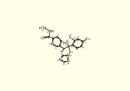 CC(c1ccc(C(=O)NN)nc1)C(O)(Cn1cncn1)c1ccc(F)cc1F